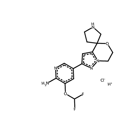 Nc1ncc(-c2cc3n(n2)CCOC32CCNC2)cc1OC(F)F.[Cl-].[H+]